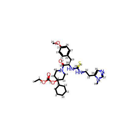 CCOC(=O)OC1(C2CCCCC2)CCN(C(=O)[C@@H](Cc2ccc(OC)cc2)NC(=S)NCCc2cncn2C)CC1